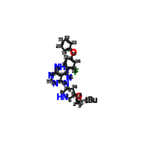 CC(C)(C)[Si](C)(C)O[C@H]1CNC[C@H](n2nc(-c3ccc(Oc4ccccc4)cc3F)c3c(N)ncnc32)C1